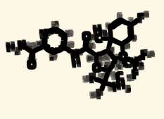 C[C@H]1[C@H](C2(C)C=CC(F)=CC2OC(F)F)[C@H](C(=O)Nc2ccnc(C(N)=O)c2)O[C@]1(C)C(F)(F)F